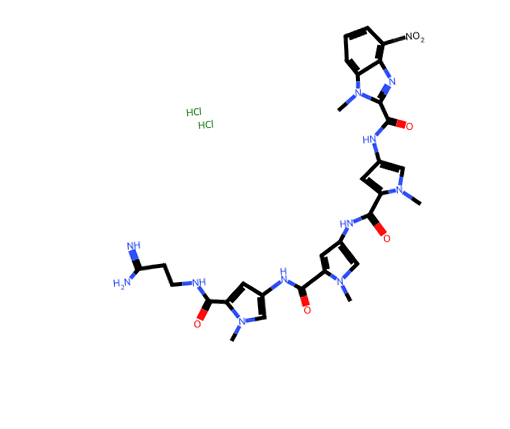 Cl.Cl.Cn1cc(NC(=O)c2cc(NC(=O)c3cc(NC(=O)c4nc5c([N+](=O)[O-])cccc5n4C)cn3C)cn2C)cc1C(=O)NCCC(=N)N